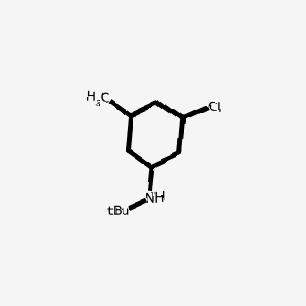 CC1CC(Cl)CC(NC(C)(C)C)C1